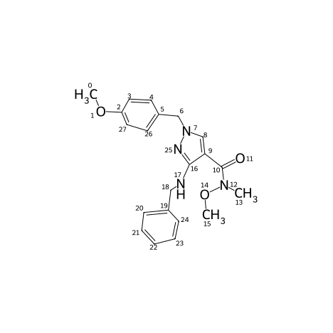 COc1ccc(Cn2cc(C(=O)N(C)OC)c(NCc3ccccc3)n2)cc1